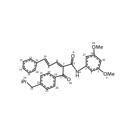 COc1cc(NC(=O)C(=CC=Cc2ccccc2)C(=O)c2ccc(CC(C)C)cc2)cc(OC)c1